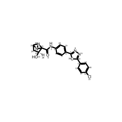 O=C(Nc1ccc(-c2nnc(-c3ccc(Cl)cc3)o2)cc1)C12[C@@H](O)CC3N1N32